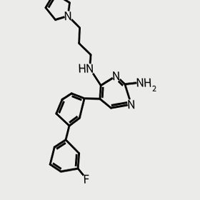 Nc1ncc(-c2cccc(-c3cccc(F)c3)c2)c(NCCCN2CC=CC2)n1